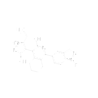 C=Cc1[nH]nc(C)c1-c1c(C)nc(-c2ccc3c(cnn3F)c2)c2c1CCCC2